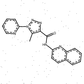 Cc1c(C(=O)Nc2ccc3ccccc3n2)nnn1-c1ccccn1